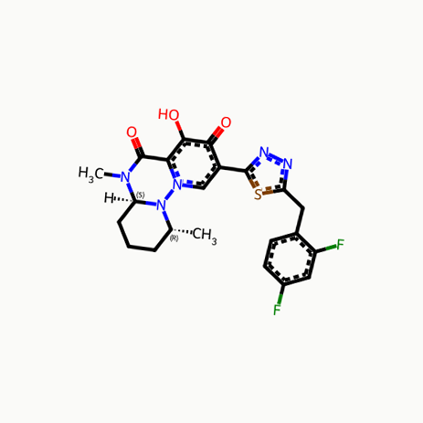 C[C@@H]1CCC[C@H]2N(C)C(=O)c3c(O)c(=O)c(-c4nnc(Cc5ccc(F)cc5F)s4)cn3N12